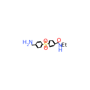 CCNC(=O)c1ccc(S(=O)(=O)c2ccc(CN)cc2)cc1